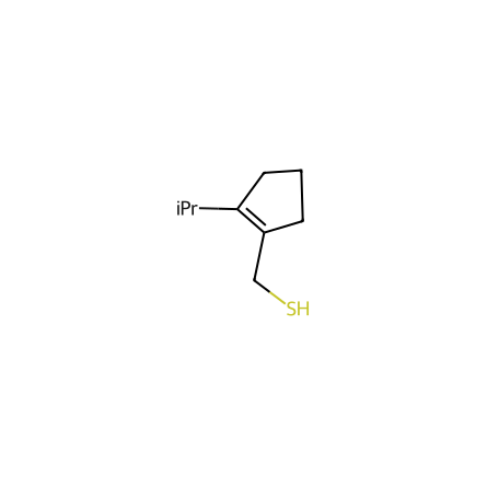 CC(C)C1=C(CS)CCC1